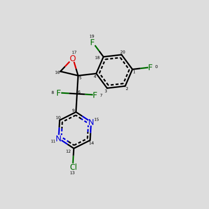 Fc1ccc(C2(C(F)(F)c3cnc(Cl)cn3)CO2)c(F)c1